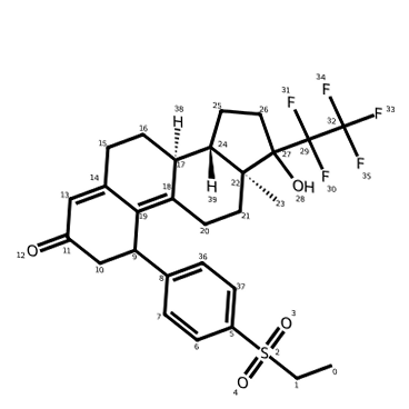 CCS(=O)(=O)c1ccc(C2CC(=O)C=C3CC[C@@H]4C(=C32)CC[C@@]2(C)[C@H]4CCC2(O)C(F)(F)C(F)(F)F)cc1